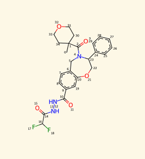 CC1(C(=O)N2Cc3ccc(C(=O)NNC(=O)C(F)F)cc3OCC2c2ccccc2)CCOCC1